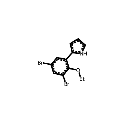 CCOc1c(Br)cc(Br)cc1-c1ccc[nH]1